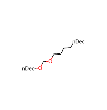 CCCCCCCCCCCCC=COCOCCCCCCCCCC